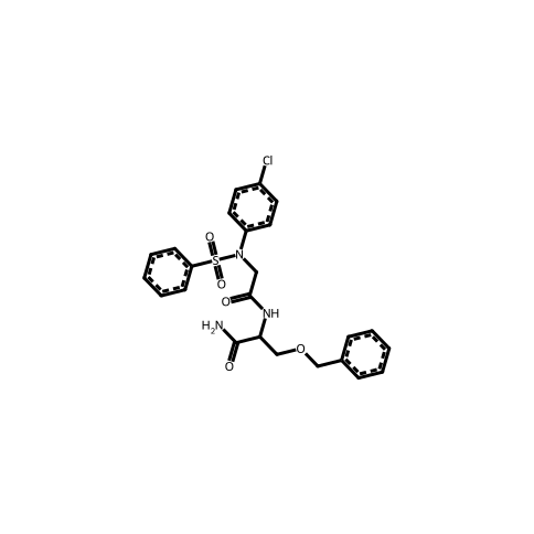 NC(=O)C(COCc1ccccc1)NC(=O)CN(c1ccc(Cl)cc1)S(=O)(=O)c1ccccc1